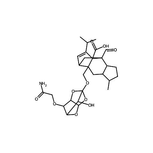 CC(C)C1=CC2CC3(C=O)C4CCC(C)C4CC2(COC24OC5OC(C(OCC(N)=O)C5O2)C4O)C13C(=O)O